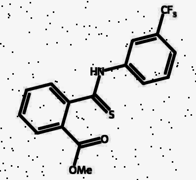 COC(=O)c1ccccc1C(=S)Nc1cccc(C(F)(F)F)c1